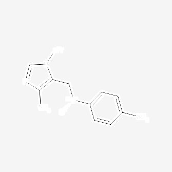 CCCn1cnc(C)c1C[S@@+]([O-])c1ccc(N)cc1